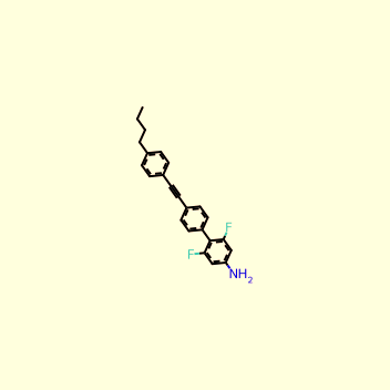 CCCCc1ccc(C#Cc2ccc(-c3c(F)cc(N)cc3F)cc2)cc1